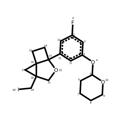 Fc1cc(OC2CCCCO2)cc(C23CCC24CC4(CI)CO3)c1